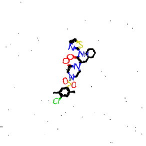 Cc1cc(S(=O)(=O)N2CCN(C(CC3CCCCC3)C(=O)Nc3nccs3)C(=O)C2)c(C)cc1Cl